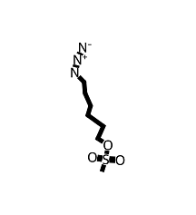 CS(=O)(=O)OCCCCCCN=[N+]=[N-]